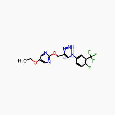 CCOc1cnc(OC/C(=C/Nc2ccc(F)c(C(F)(F)F)c2)N=N)nc1